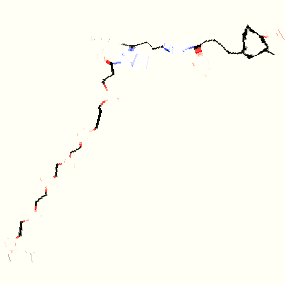 CCCOCCOCCOCCOCCOCCOCCC(=O)NC(CCCCNC(=O)CCc1ccc(O)c(C)c1)C(=O)O